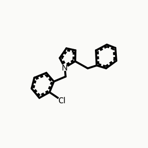 Clc1ccccc1Cn1cccc1Cc1ccccc1